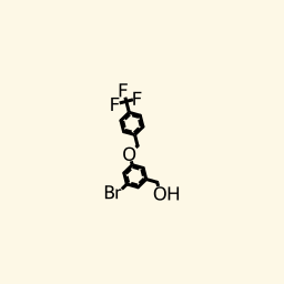 OCc1cc(Br)cc(OCc2ccc(C(F)(F)F)cc2)c1